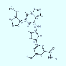 CNC(=O)c1cc(OC)cc(-n2cnc(Nc3nc(N4CCCC4CO)nn4cccc34)c2)c1